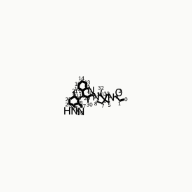 C=CC(=O)N1CC2(CCN(c3nc4ccccc4c(-c4c(C)ccc5[nH]ncc45)c3C)[C@H]2C)C1